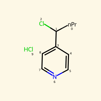 CCCC(Cl)c1ccncc1.Cl